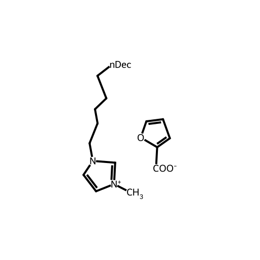 CCCCCCCCCCCCCCCn1cc[n+](C)c1.O=C([O-])c1ccco1